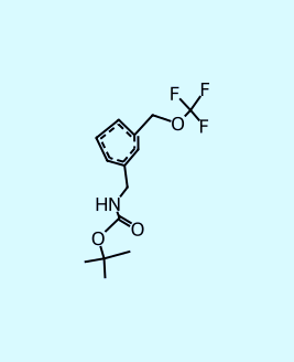 CC(C)(C)OC(=O)NCc1cccc(COC(F)(F)F)c1